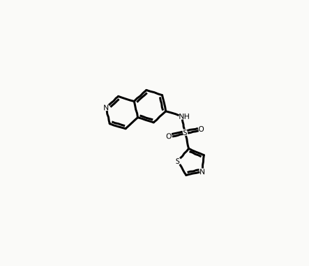 O=S(=O)(Nc1ccc2cnccc2c1)c1cncs1